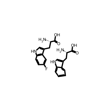 N[C@@H](Cc1c[nH]c2ccc(F)cc12)C(=O)O.N[C@@H](Cc1c[nH]c2ccccc12)C(=O)O